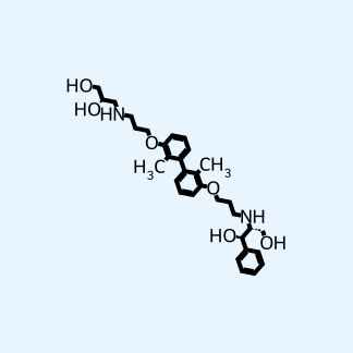 Cc1c(OCCCNC[C@H](O)CO)cccc1-c1cccc(OCCCN[C@H](CO)[C@H](O)c2ccccc2)c1C